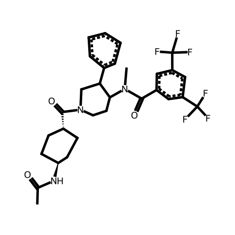 CC(=O)N[C@H]1CC[C@H](C(=O)N2CCC(N(C)C(=O)c3cc(C(F)(F)F)cc(C(F)(F)F)c3)C(c3ccccc3)C2)CC1